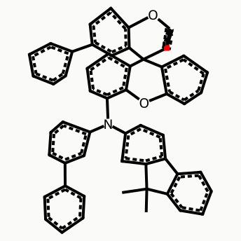 CC1(C)c2ccccc2-c2ccc(N(c3cccc(-c4ccccc4)c3)c3cccc4c3Oc3ccccc3C43c4ccccc4Oc4ccc(-c5ccccc5)cc43)cc21